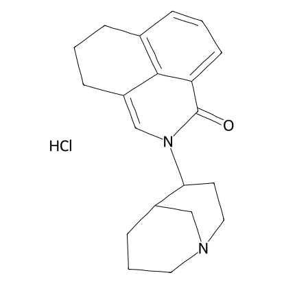 Cl.O=c1c2cccc3c2c(cn1C1CCN2CCCC1C2)CCC3